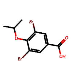 CC(C)Oc1c(Br)cc(C(=O)O)cc1Br